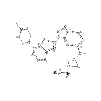 CN1CCN(c2nccc3oc(-c4cnc5ccc(O[C@H]6C[C@@H](NC(=O)O)C6)nn45)cc23)CC1